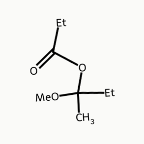 CCC(=O)OC(C)(CC)OC